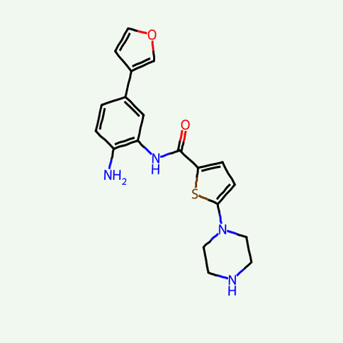 Nc1ccc(-c2ccoc2)cc1NC(=O)c1ccc(N2CCNCC2)s1